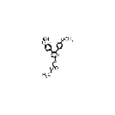 CCOC(=O)CSc1nc(-c2ccc(OC)cc2)c(-c2ccc(OC)cc2)s1